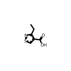 CCc1nscc1C(=O)O